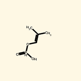 CC(C)=CO[PH](=O)O